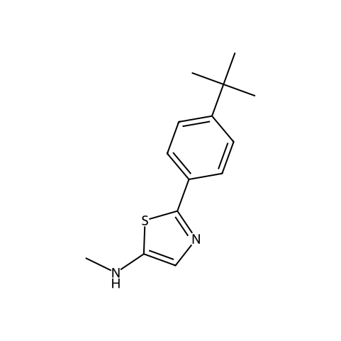 CNc1cnc(-c2ccc(C(C)(C)C)cc2)s1